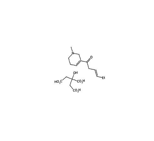 CCC=CCC(=O)C1=CCCN(C)C1.O=C(O)CC(O)(CC(=O)O)C(=O)O